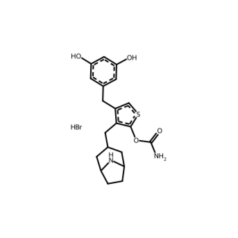 Br.NC(=O)Oc1scc(Cc2cc(O)cc(O)c2)c1CC1CC2CCC(C1)N2